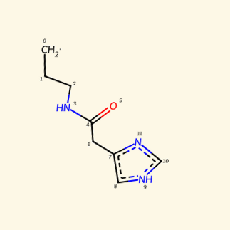 [CH2]CCNC(=O)Cc1c[nH]cn1